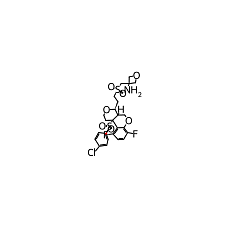 NC1(CS(=O)(=O)CC[C@@H]2OCC[C@@]3(S(=O)(=O)c4ccc(Cl)cc4)c4c(F)ccc(F)c4OC[C@@H]23)COC1